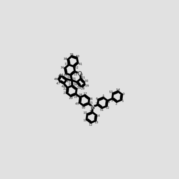 c1ccc(-c2ccc(N(c3ccccc3)c3ccc(-c4ccc5c(c4)C4(c6ccccc6Oc6c4ccc4ccccc64)c4ccccc4-5)cc3)cc2)cc1